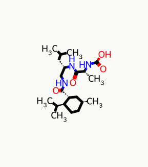 CC(C)C[C@@H](CNC(=O)[C@@H]1C[C@H](C)CC[C@H]1C(C)C)NC(=O)[C@@H](C)NC(=O)O